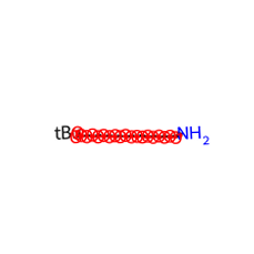 CC(C)(C)OC(=O)COCCOCCOCCOCCOCCOCCOCCOCCOCCOCCOCCOCCOCCOCCOCCOCCOCCOc1ccc(N)cc1